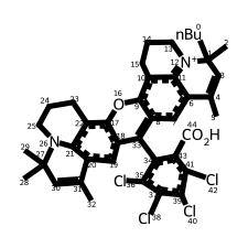 CCCCC1(C)C=C(C)c2cc3c(c4c2=[N+]1CCC4)Oc1c(cc2c4c1CCCN4C(C)(C)C=C2C)C=3c1c(Cl)c(Cl)c(Cl)c(Cl)c1C(=O)O